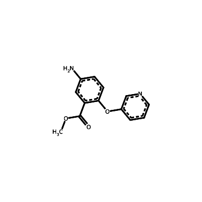 COC(=O)c1cc(N)ccc1Oc1cccnc1